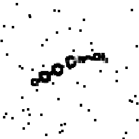 CCCCC[Si@H]1CC[C@H](C2CCC(c3ccc(Cl)cc3)CC2)CC1